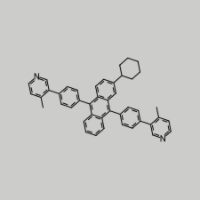 Cc1ccncc1-c1ccc(-c2c3ccccc3c(-c3ccc(-c4cnccc4C)cc3)c3cc(C4CCCCC4)ccc23)cc1